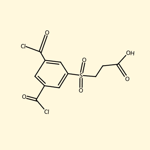 O=C(O)CCS(=O)(=O)c1cc(C(=O)Cl)cc(C(=O)Cl)c1